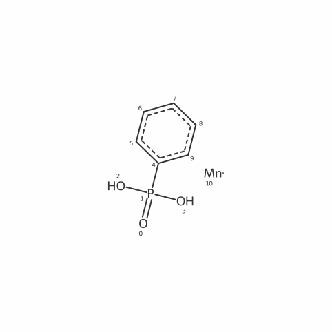 O=P(O)(O)c1ccccc1.[Mn]